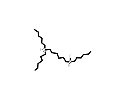 CCCCCC[Si](F)(F)CCCCCC[Si](F)(CCCCCC)CCCCCC